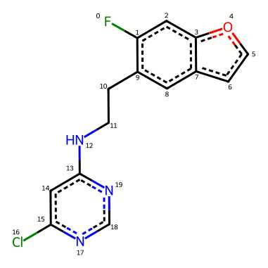 Fc1cc2occc2cc1CCNc1cc(Cl)ncn1